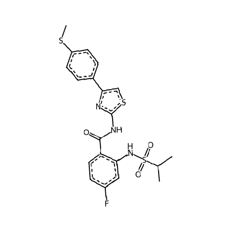 CSc1ccc(-c2csc(NC(=O)c3ccc(F)cc3NS(=O)(=O)C(C)C)n2)cc1